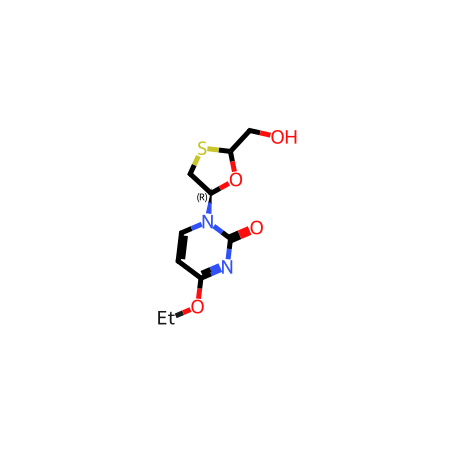 CCOc1ccn([C@H]2CSC(CO)O2)c(=O)n1